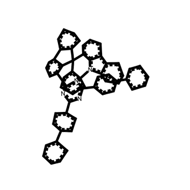 c1ccc(-c2ccc(-c3nc(-c4ccc(-c5ccccc5)cc4)nc(-c4cccc5c4C4(c6ccccc6-5)c5ccccc5-n5c6ccccc6c6cccc4c65)n3)cc2)cc1